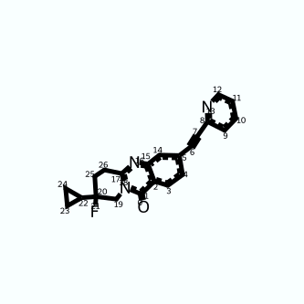 O=c1c2ccc(C#Cc3ccccn3)cc2nc2n1CC(F)(C1CC1)CC2